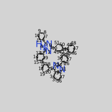 N/C(=N\C(=N/Cc1ccccc1)c1cccc(C2=CCCC(c3nc(-c4ccccc4)nc4c3CCC=C4)=C2)c1)C1C=CC(c2ccccc2)=CC1